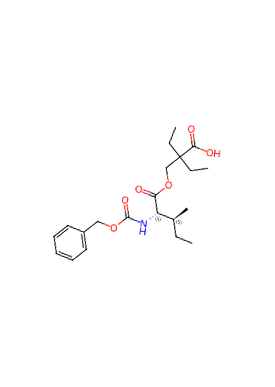 CC[C@H](C)[C@H](NC(=O)OCc1ccccc1)C(=O)OCC(CC)(CC)C(=O)O